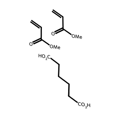 C=CC(=O)OC.C=CC(=O)OC.O=C(O)CCCCC(=O)O